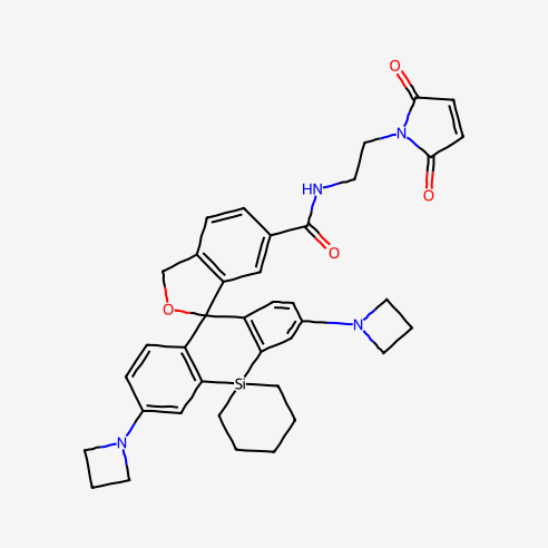 O=C(NCCN1C(=O)C=CC1=O)c1ccc2c(c1)C1(OC2)c2ccc(N3CCC3)cc2[Si]2(CCCCC2)c2cc(N3CCC3)ccc21